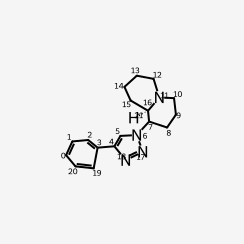 c1ccc(-c2cn(C3CCCN4CCCC[C@H]34)nn2)cc1